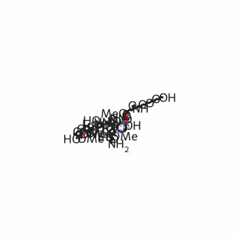 CCN(C(=O)CN)C1COC(OC2C(O[C@H]3C#C/C=C\C#C[C@]4(O)CC(=O)C(NC(=O)OC)=C3/C4=C\CSSC(C)(C)CCC(=O)NCCOCCOCCOCCO)OC(C)C(NOC3CC(O)C(SC(=O)c4c(C)c(I)c(OC5OC(C)C(O)C(OC)C5O)c(OC)c4OC)C(C)O3)C2O)CC1OC